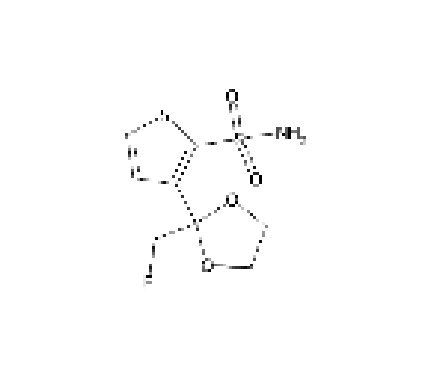 NS(=O)(=O)c1sccc1C1(CF)OCCO1